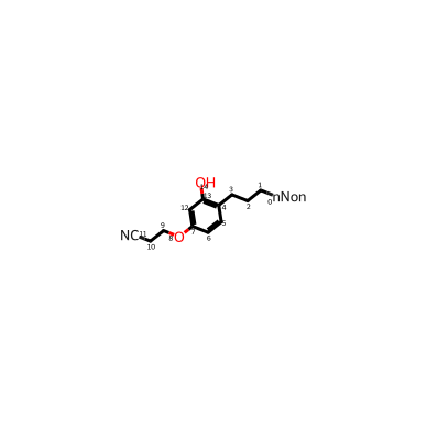 CCCCCCCCCCCCc1ccc(OCCC#N)cc1O